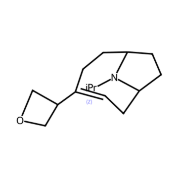 CC(C)N1C2C/C=C(\C3COC3)CCC1CC2